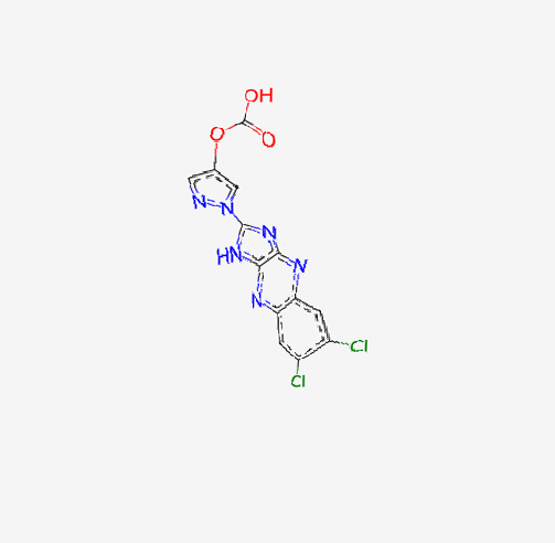 O=C(O)Oc1cnn(-c2nc3nc4cc(Cl)c(Cl)cc4nc3[nH]2)c1